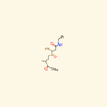 COC(=O)C(C)CC[S+]([O-])C(S)CC(=O)NCC(C)C